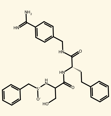 N=C(N)c1ccc(CNC(=O)[C@H](CCc2ccccc2)NC(=O)C(CO)N[S+]([O-])Cc2ccccc2)cc1